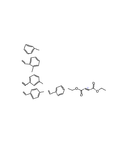 C=Cc1ccc(C)cc1.C=Cc1cccc(C)c1.C=Cc1ccccc1.C=Cc1ccccc1C.CCOC(=O)/C=C/C(=O)OCC.Cc1ccccc1